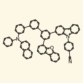 N#Cc1ccc(-n2c3ccccc3c3ccc(-c4cc(-c5cccc(-c6cccc(N(c7ccccc7)c7ccc8ccccc8c7)c6)c5)cc(-c5cccc6c5oc5ccccc56)c4)cc32)cc1